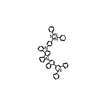 C1=CC(c2nc(-c3ccccc3)nc(-c3ccc(-n4c5ccccc5c5c6c7ccccc7n(-c7ccc(-c8cc(-c9ccccc9)nc(-c9ccccc9)c8)c8ccccc78)c6ccc54)cc3)n2)=CCC1